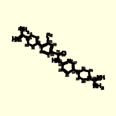 N=C(N)N1CC=C(c2ccc(C(=O)Nc3ccc(N4CCN(C(=N)N)CC4)cn3)cc2F)CC1